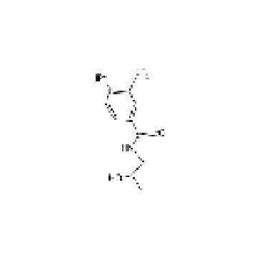 CC(O)CNC(=O)c1ccc(C(C)C)c(C(F)(F)F)c1